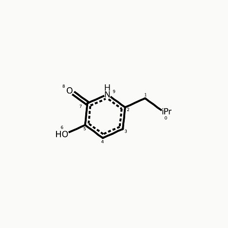 CC(C)Cc1ccc(O)c(=O)[nH]1